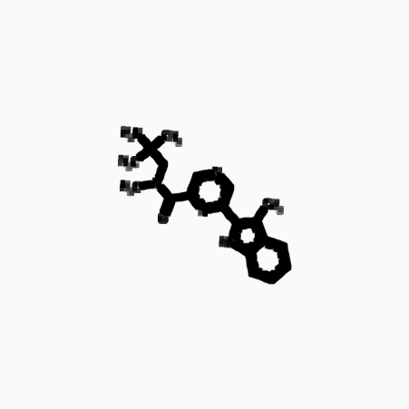 Cc1c(-c2cncc(C(=O)N(C)CC(C)(C)N)n2)[nH]c2ccccc12